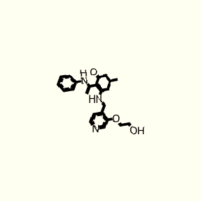 C=C(Nc1ccccc1)C1=C(NCc2ccncc2OCCO)CC(C)CC1=O